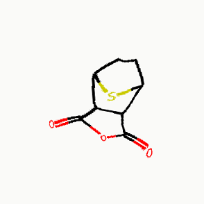 O=C1OC(=O)C2C3CCC(S3)C12